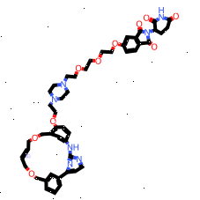 O=C1CCC(N2C(=O)c3ccc(OCCOCCOCCN4CCN(CCOc5ccc6cc5COC/C=C/COCc5cccc(c5)-c5ccnc(n5)N6)CC4)cc3C2=O)C(=O)N1